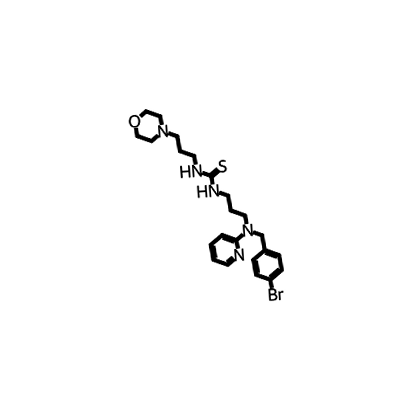 S=C(NCCCN1CCOCC1)NCCCN(Cc1ccc(Br)cc1)c1ccccn1